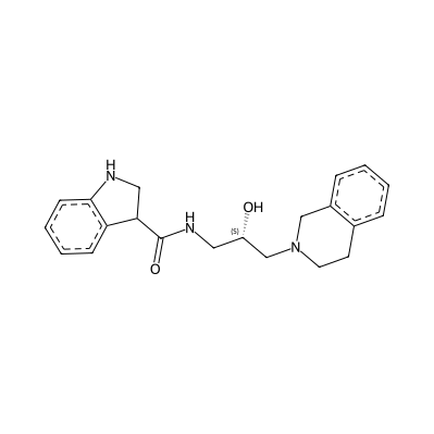 O=C(NC[C@H](O)CN1CCc2ccccc2C1)C1CNc2ccccc21